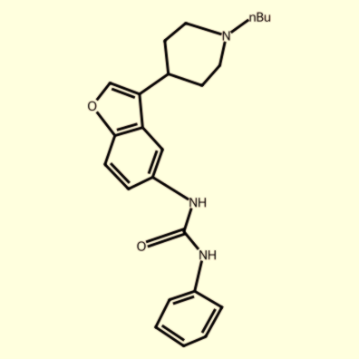 CCCCN1CCC(c2coc3ccc(NC(=O)Nc4ccccc4)cc23)CC1